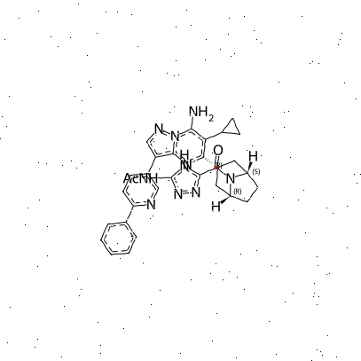 CC(=O)Nc1nnc(C(=O)N2[C@@H]3CC[C@H]2C[C@@H](c2nc4c(-c5ccc(-c6ccccc6)nc5)cnn4c(N)c2C2CC2)C3)[nH]1